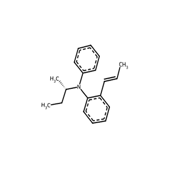 C/C=C/c1ccccc1N(c1ccccc1)[C@@H](C)CC